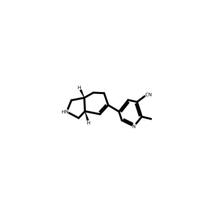 Cc1ncc(C2=C[C@@H]3CNC[C@@H]3CC2)cc1C#N